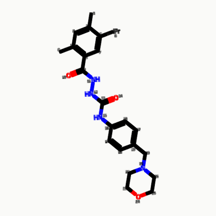 Cc1cc(C)c(C(C)C)cc1C(=O)NNC(=O)Nc1ccc(CN2CCOCC2)cc1